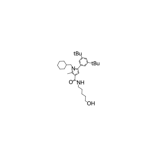 Cc1c(C(=O)NCCCCCO)cc(-c2cc(C(C)(C)C)cc(C(C)(C)C)c2)n1CC1CCCCC1